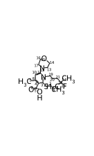 CCSC1C(C(=O)O)=C(C)C=C(N2CCOCC2)N1CCCC(C)(C)F